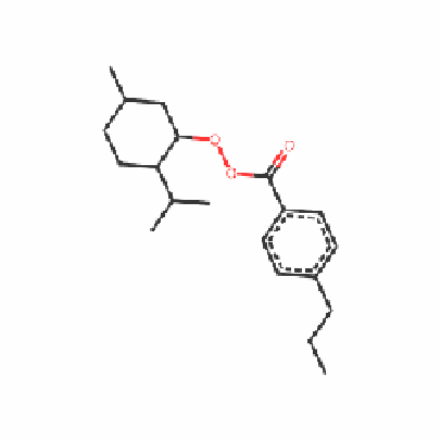 CCCc1ccc(C(=O)OO[C]2CC(C)CCC2C(C)C)cc1